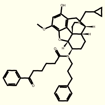 COc1cc(O)c2c3c1O[C@H]1[C@H](N(CCCc4ccccc4)C(=O)CCCCC(=O)c4ccccc4)CC[C@H]4[C@@H](C2)N(CC2CC2)CC[C@@]341